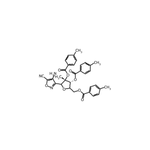 Cc1ccc(C(=O)OCC2OC(c3noc(C#N)c3N)[C@](C)(OC(=O)c3ccc(C)cc3)[C@@H]2OC(=O)c2ccc(C)cc2)cc1